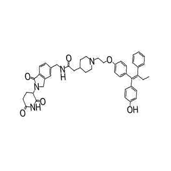 CC/C(=C(\c1ccc(O)cc1)c1ccc(OCCN2CCC(CC(=O)NCc3ccc4c(c3)CN(C3CCC(=O)NC3=O)C4=O)CC2)cc1)c1ccccc1